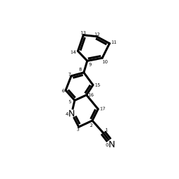 N#Cc1cnc2ccc(-c3ccccc3)cc2c1